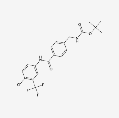 CC(C)(C)OC(=O)NCc1ccc(C(=O)Nc2ccc(Cl)c(C(F)(F)F)c2)cc1